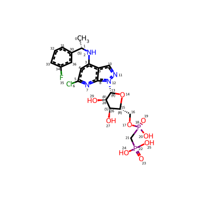 C[C@H](Nc1cc(Cl)nc2c1cnn2[C@@H]1O[C@H](COP(=O)(O)CP(=O)(O)O)[C@@H](O)[C@H]1O)c1cccc(F)c1